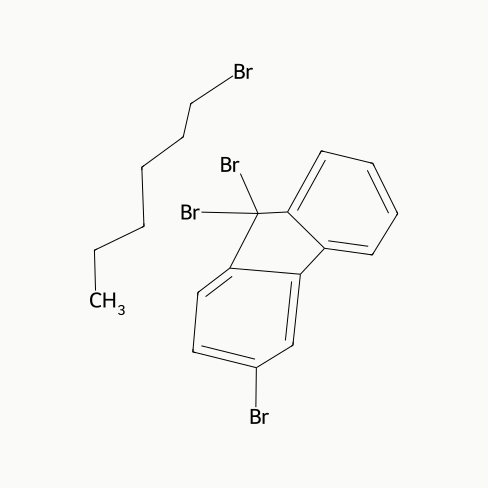 Brc1ccc2c(c1)-c1ccccc1C2(Br)Br.CCCCCCBr